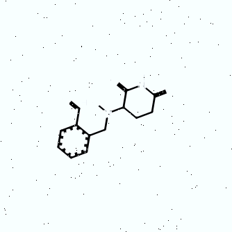 CN(Cc1ccccc1C=O)C1CCC(=O)NC1=O